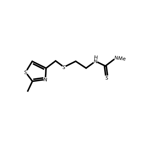 CNC(=S)NCCSCc1csc(C)n1